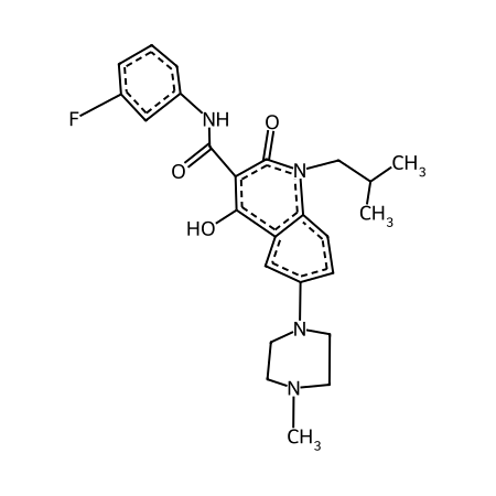 CC(C)Cn1c(=O)c(C(=O)Nc2cccc(F)c2)c(O)c2cc(N3CCN(C)CC3)ccc21